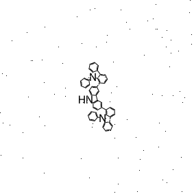 c1ccc(-n2c3ccccc3c3cccc(-c4ccc5[nH]c6ccc(-c7cccc8c9ccccc9n(-c9ccccc9)c78)cc6c5c4)c32)cc1